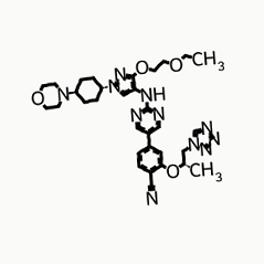 CCOCCOc1nn([C@H]2CC[C@H](N3CCOCC3)CC2)cc1Nc1ncc(-c2ccc(C#N)c(O[C@@H](C)Cn3cnnn3)c2)cn1